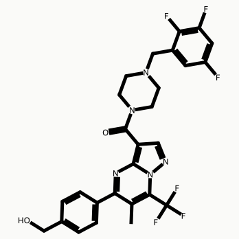 Cc1c(-c2ccc(CO)cc2)nc2c(C(=O)N3CCN(Cc4cc(F)cc(F)c4F)CC3)cnn2c1C(F)(F)F